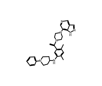 C=C(c1cc(NC2CCN(c3ccccc3)CC2)c(C)cc1C)N1CCN(c2cncc3cn[nH]c23)CC1